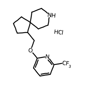 Cl.FC(F)(F)c1cccc(OCC2CCCC23CCNCC3)n1